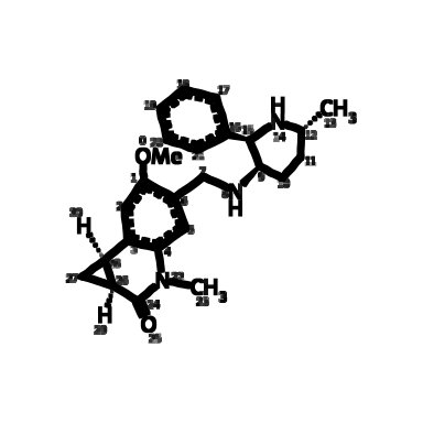 COc1cc2c(cc1CN[C@@H]1CC[C@@H](C)N[C@@H]1c1ccccc1)N(C)C(=O)[C@H]1C[C@@H]21